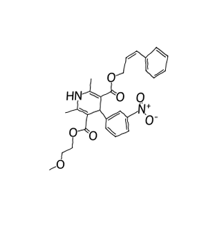 COCCOC(=O)C1=C(C)NC(C)=C(C(=O)OC/C=C\c2ccccc2)C1c1cccc([N+](=O)[O-])c1